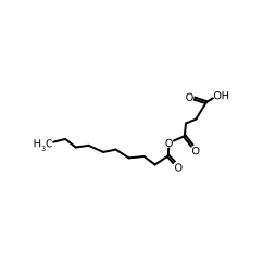 CCCCCCCCCC(=O)OC(=O)CCC(=O)O